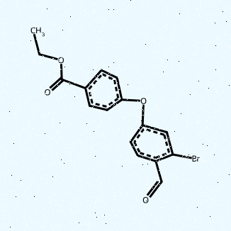 CCOC(=O)c1ccc(Oc2ccc(C=O)c(Br)c2)cc1